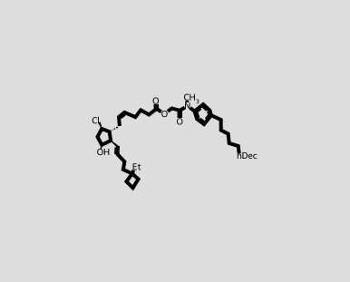 CCCCCCCCCCCCCCCc1ccc(N(C)C(=O)COC(=O)CCC/C=C\C[C@@H]2[C@@H](/C=C/CCC3(CC)CCC3)[C@H](O)C[C@H]2Cl)cc1